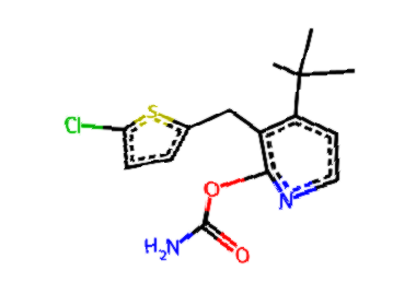 CC(C)(C)c1ccnc(OC(N)=O)c1Cc1ccc(Cl)s1